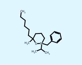 CCCCCCC1(C)CCC[Si](Cc2ccccc2)(C(C)C)O1